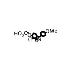 COc1ccc(-c2noc3c(Cl)c(OCC(=O)O)ccc23)cc1